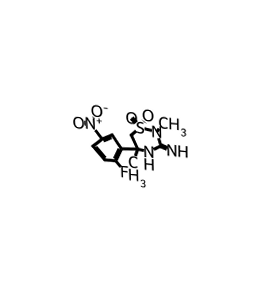 CN1C(=N)NC(C)(c2cc([N+](=O)[O-])ccc2F)CS1(=O)=O